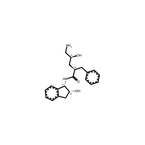 NC[C@@H](O)C[C@@H](Cc1ccccc1)C(=O)N[C@H]1c2ccccc2C[C@H]1O